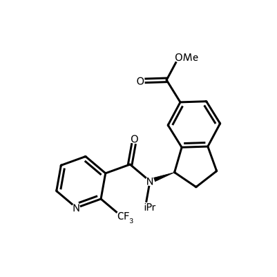 COC(=O)c1ccc2c(c1)[C@H](N(C(=O)c1cccnc1C(F)(F)F)C(C)C)CC2